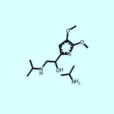 CC(C)N.COc1cc(C(O)CNC(C)C)sc1OC